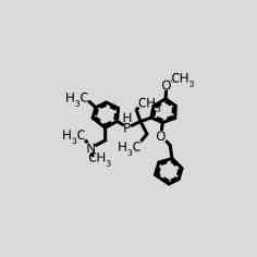 CCC(CC)(Pc1ccc(C)cc1CN(C)C)c1cc(OC)ccc1OCc1ccccc1